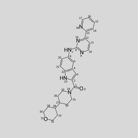 O=C(c1cc2cc(Nc3nccc(-c4ccccn4)n3)ccc2[nH]1)N1CCC(C2CCOCC2)CC1